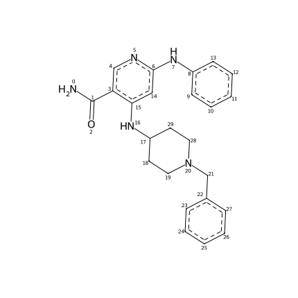 NC(=O)c1cnc(Nc2ccccc2)cc1NC1CCN(Cc2ccccc2)CC1